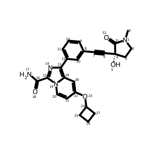 CN1CC[C@@](O)(C#Cc2cccc(-c3nc(C(N)=O)n4ccc(OC5CCC5)cc34)c2)C1=O